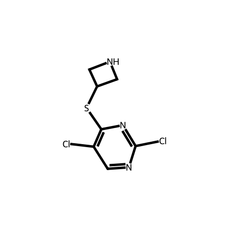 Clc1ncc(Cl)c(SC2CNC2)n1